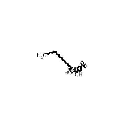 CCCCC/C=C\C/C=C/CCCCCCCC(=O)N[C@H](CO)[C@@H](O)c1ccc([N+](=O)[O-])cc1